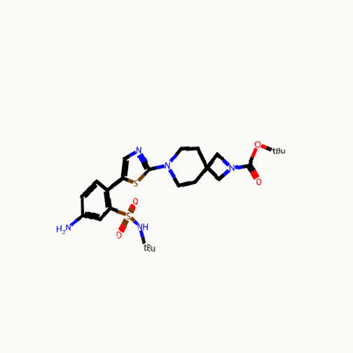 CC(C)(C)NS(=O)(=O)c1cc(N)ccc1-c1cnc(N2CCC3(CC2)CN(C(=O)OC(C)(C)C)C3)s1